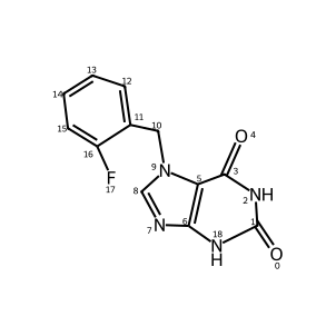 O=c1[nH]c(=O)c2c(ncn2Cc2ccccc2F)[nH]1